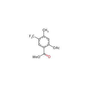 COC(=O)c1cc(C(F)(F)F)c(C)cc1OC(C)=O